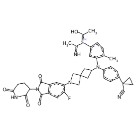 CC(=N)/C(=C(/C)O)c1ccc(C)c(N(c2ccc(C3(C#N)CC3)cc2)C2CC3(C2)CN(c2cc4c(cc2F)C(=O)N(C2CCC(=O)NC2=O)C4=O)C3)c1